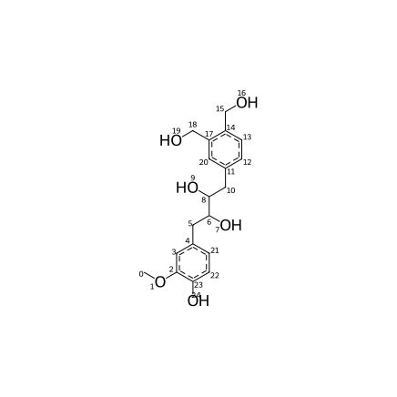 COc1cc(CC(O)C(O)Cc2ccc(CO)c(CO)c2)ccc1O